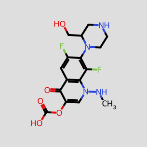 CNn1cc(OC(=O)O)c(=O)c2cc(F)c(N3CCNCC3CO)c(F)c21